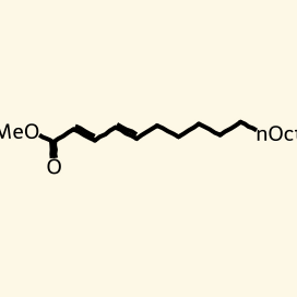 CCCCCCCCCCCCC/C=C/C=C/C(=O)OC